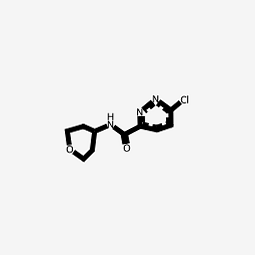 O=C(NC1CCOCC1)c1ccc(Cl)nn1